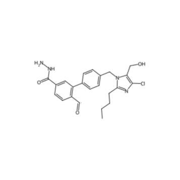 CCCCc1nc(Cl)c(CO)n1Cc1ccc(-c2cc(C(=O)NN)ccc2[C]=O)cc1